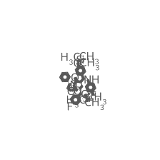 C[Si](C)(C)Oc1ccc([C@@H](Nc2ccc(F)cc2)[C@@H](CC[C@H](O[Si](C)(C)C)c2ccc(F)cc2)C(=O)N2C(=O)OC[C@@H]2c2ccccc2)cc1